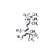 C=C(/C(C)=C/C=C(\C)NC(C)(C)C)C(C)(C)C